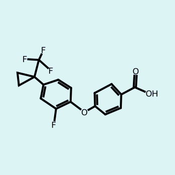 O=C(O)c1ccc(Oc2ccc(C3(C(F)(F)F)CC3)cc2F)cc1